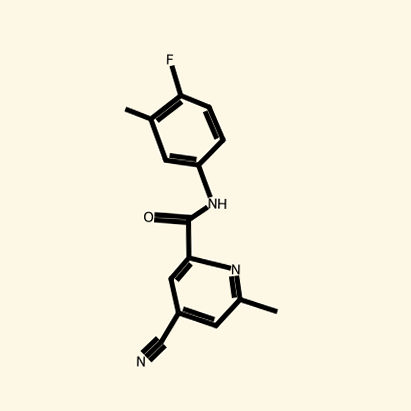 Cc1cc(C#N)cc(C(=O)Nc2ccc(F)c(C)c2)n1